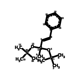 C[Si](C)(C)O[Si](C)(C=Cc1ccccc1)O[Si](C)(C)C